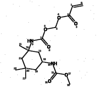 C=CC(=O)OCOC(=O)NC1(C)CC(NC(=O)OC)CC(C)(C)C1